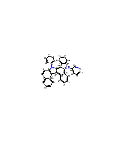 c1ccc(-n2c3ccc4ccccc4c3c3c4ccccc4c4c(c5ccccc5n4-c4cccnc4)c32)cc1